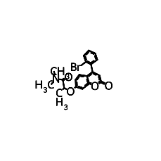 CC(Oc1ccc2c(-c3ccccc3Br)cc(=O)oc2c1)C(=O)N(C)C